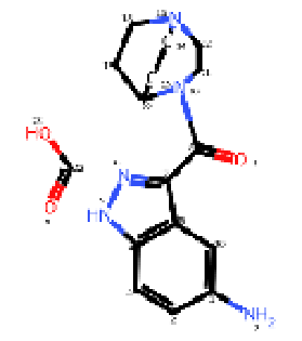 Nc1ccc2[nH]nc(C(=O)N3CCN4CCC3CC4)c2c1.O=CO